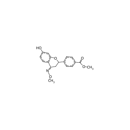 CON=C1CC(c2ccc(C(=O)OC)cc2)Oc2cc(O)ccc21